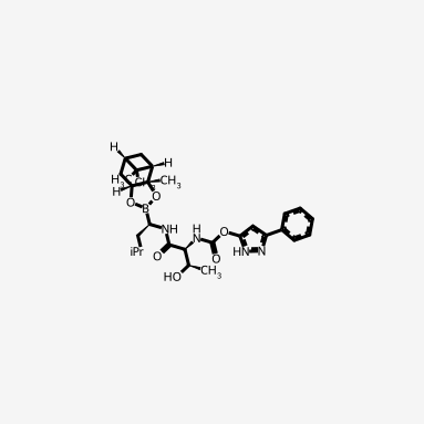 CC(C)C[C@H](NC(=O)[C@@H](NC(=O)Oc1cc(-c2ccccc2)n[nH]1)[C@@H](C)O)B1O[C@@H]2C[C@@H]3C[C@@H](C3(C)C)[C@]2(C)O1